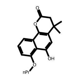 CCCOc1cccc2c3c(cc(O)c12)C(C)(C)CC(=O)O3